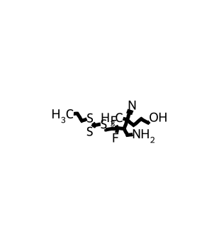 CCCSC(=S)SCC(F)(F)C(CN)C(C)(C#N)CCCO